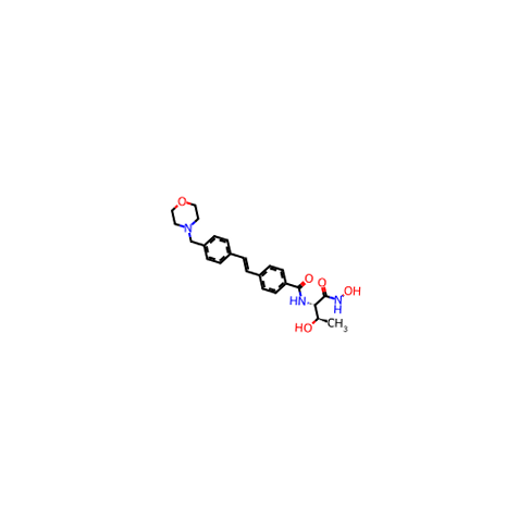 C[C@@H](O)[C@H](NC(=O)c1ccc(/C=C/c2ccc(CN3CCOCC3)cc2)cc1)C(=O)NO